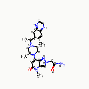 CC(c1ccc2nccnc2c1)N1C[C@H](C)N(c2cc(=O)n(C)c3cn(CC(N)=O)nc23)C[C@H]1C